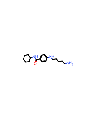 NCCCCCNc1ccc(C(=O)NC2CCCCC2)cc1